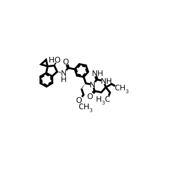 CCC1(CC)CC(=O)N([C@H](CCOC)c2cccc(C(=O)N[C@@H]3c4ccccc4C4(CC4)[C@H]3O)c2)C(=N)N1